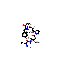 CC[C@H](C)[C@@H]([C@@H](CC(=O)N1CCC[C@H]1[C@H](OC)[C@@H](C)C(=O)N[C@@H](Cc1ccccc1)C(=O)OCC(C)C)OC)N(C)C(=O)C(N)C(C)C